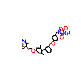 Cc1cc(OCCc2scnc2C)cc(C)c1-c1cccc(COc2ccc(Cn3oc(=O)[nH]c3=O)cc2)c1